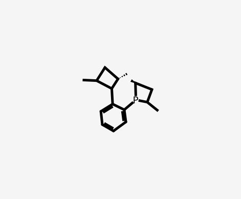 CC1C[C@H](C)C1c1ccccc1P1C(C)C[C@@H]1C